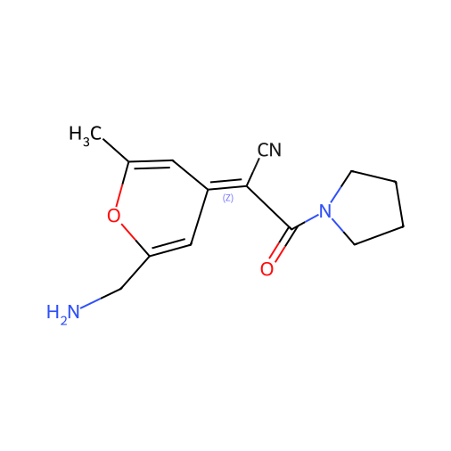 CC1=C/C(=C(\C#N)C(=O)N2CCCC2)C=C(CN)O1